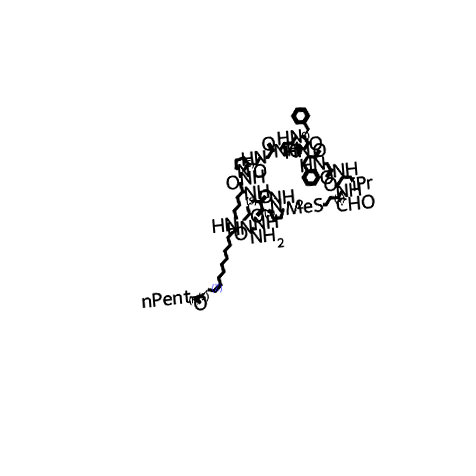 CCCCC[C@H]1O[C@H]1C/C=C\CCCCCCCC(=O)NCCCCC(N[C@@H](CCCNC(=N)N)C(=O)C(=O)[C@@H]1CCCN1N)C(=O)NN1CCC[C@H]1C(=O)NCC(=O)NCC(=O)N[C@@H](Cc1ccccc1)C(=O)NC(Cc1ccccc1)C(=O)NCC(=O)NC(CC(C)C)C(=O)N[C@H](C=O)CCSC